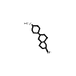 CCCC1CCC2CC(C3CCC(C(=O)O)CC3)CCC2C1